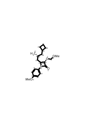 COCO[C@H]1C(=O)N(c2ccc(OC)cc2)C1C[C@H](C)CC1CCC1